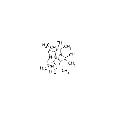 CC[N](CC)[Nb]([N](CC)CC)([N](CC)CC)([N](CC)CC)[N](CC)CC